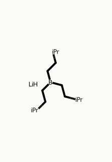 CC(C)CCB(CCC(C)C)CCC(C)C.[LiH]